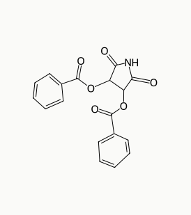 O=C(OC1C(=O)NC(=O)C1OC(=O)c1ccccc1)c1ccccc1